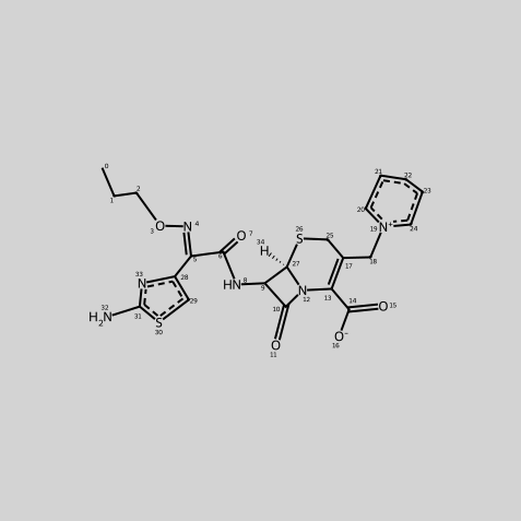 CCCO/N=C(/C(=O)NC1C(=O)N2C(C(=O)[O-])=C(C[n+]3ccccc3)CS[C@H]12)c1csc(N)n1